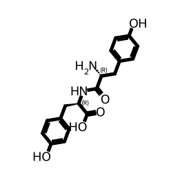 N[C@H](Cc1ccc(O)cc1)C(=O)N[C@H](Cc1ccc(O)cc1)C(=O)O